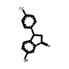 O=C1CC(c2ccc(C(F)(F)F)cc2)c2ccc(O)cc21